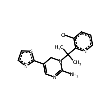 CC(C)(c1ncccc1Cl)N1CC(c2nccs2)=CN=C1N